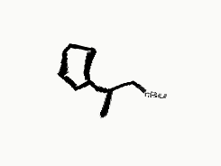 CCCCCC(C)C1=[C]CC=C1